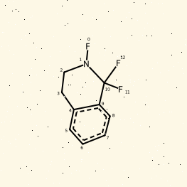 FN1CCc2ccccc2C1(F)F